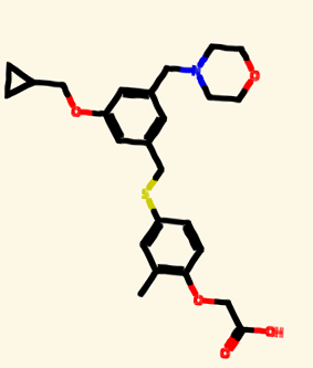 Cc1cc(SCc2cc(CN3CCOCC3)cc(OCC3CC3)c2)ccc1OCC(=O)O